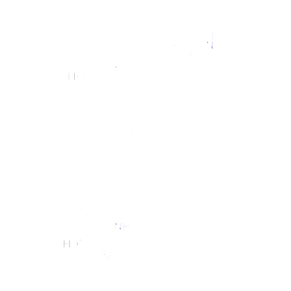 CS(=O)(=O)Nc1ccc(/C=C/c2cc(-c3ccc[nH]c3=O)cc(C3(CO)CC3)c2)cc1